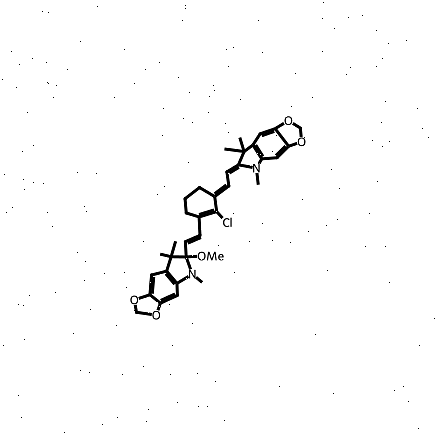 COC1(/C=C/C2=C(Cl)C(=C/C=C3\N(C)c4cc5c(cc4C3(C)C)OCO5)/CCC2)N(C)c2cc3c(cc2C1(C)C)OCO3